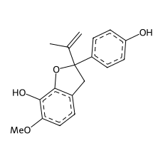 C=C(C)C1(c2ccc(O)cc2)Cc2ccc(OC)c(O)c2O1